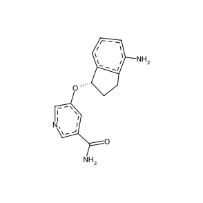 NC(=O)c1cncc(O[C@H]2CCc3c(N)cccc32)c1